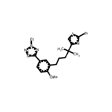 CCn1nnc(-c2ccc(OC)c(CCCC(C)(C)c3csc(C(C)C)n3)c2)n1